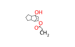 C=CC(=O)OC1CC2(O)CC1C1CCCC12